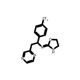 FC(F)(F)c1ccc(C(Cc2cnccn2)/N=C2/NCCO2)cc1